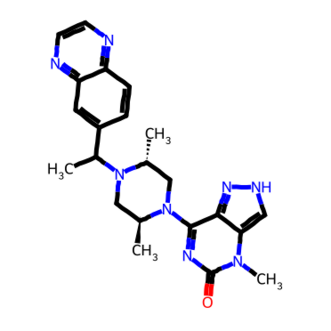 CC(c1ccc2nccnc2c1)N1C[C@H](C)N(c2nc(=O)n(C)c3c[nH]nc23)C[C@H]1C